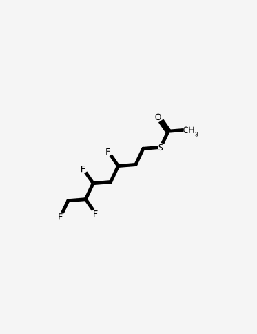 CC(=O)SCCC(F)CC(F)C(F)CF